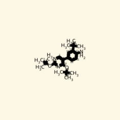 CC(C)(C)Oc1ncc(-c2ccc(N)c(C(C)(C)C)c2)c(OC(C)(C)C)n1